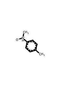 Cc1ccc([NH+](C)[O-])cc1